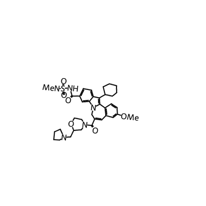 CNS(=O)(=O)NC(=O)c1ccc2c(C3CCCCC3)c3n(c2c1)CC(C(=O)N1CCOC(CN2CCCC2)C1)=Cc1cc(OC)ccc1-3